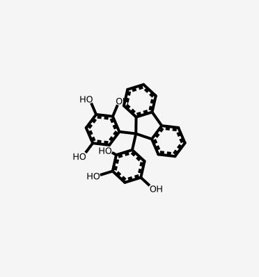 Oc1cc(O)c(O)c(C2(c3cc(O)cc(O)c3O)c3ccccc3-c3ccccc32)c1